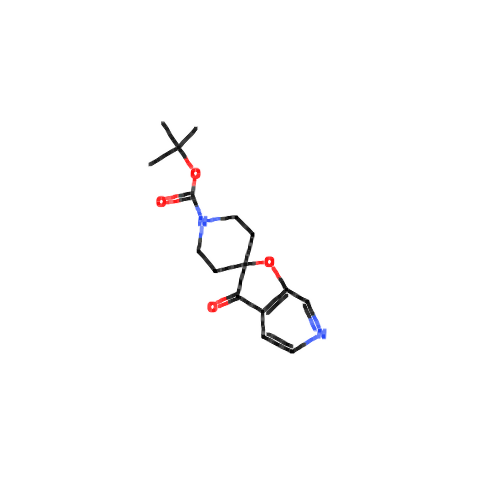 CC(C)(C)OC(=O)N1CCC2(CC1)Oc1cnccc1C2=O